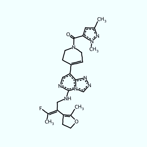 CC1=C(/C(CNc2ncc(C3=CCN(C(=O)c4cc(C)nn4C)CC3)c3nncn23)=C(\C)F)CCO1